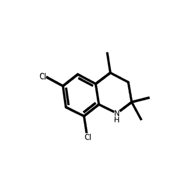 CC1CC(C)(C)Nc2c(Cl)cc(Cl)cc21